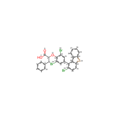 O=C(O)C(Cc1ccccc1)Oc1c(Br)cc(-c2c(Br)ccc3sc4ccccc4c23)cc1Br